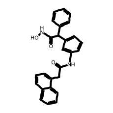 O=C(Cc1cccc2ccccc12)Nc1cccc(C(C(=O)NO)c2ccccc2)c1